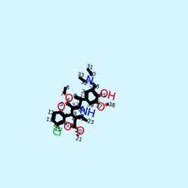 C=C(C1=C(C(=O)OCC)C(c2cccc(Cl)c2)C(C(=O)OC)=C(C)N1)c1cc(CN(CC)CC)c(O)c(OC)c1